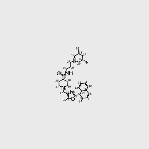 Cc1oc(C2C(C)C=CC3C=CC=CC32)nc1CN1CCC(C(=O)NCCCN2C[C@H](C)C[C@H](C)C2)CC1